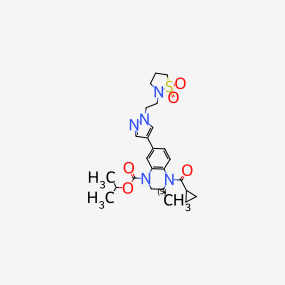 CC(C)OC(=O)N1C[C@H](C)N(C(=O)C2CC2)c2ccc(-c3cnn(CCN4CCCS4(=O)=O)c3)cc21